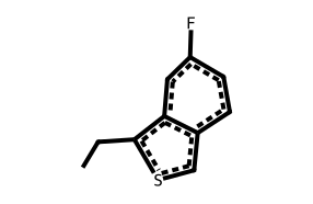 CCc1scc2ccc(F)cc12